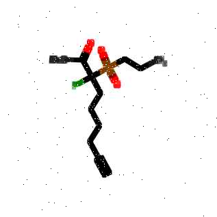 C#CCCCCC(F)(C(=O)OC)S(=O)(=O)CCC(F)(F)F